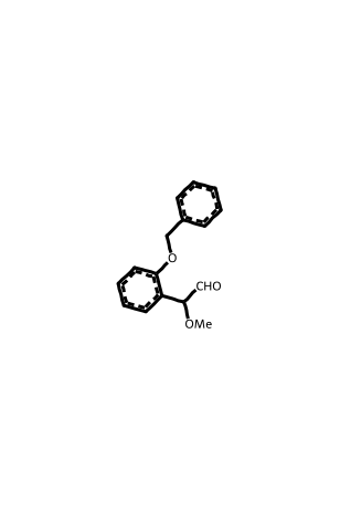 COC(C=O)c1ccccc1OCc1ccccc1